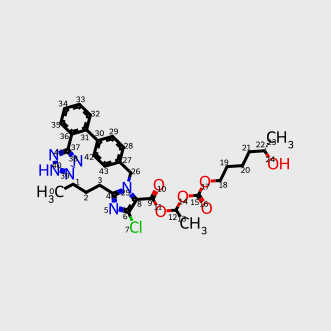 CCCCc1nc(Cl)c(C(=O)OC(C)OC(=O)OCCCC[C@H](C)O)n1Cc1ccc(-c2ccccc2-c2nn[nH]n2)cc1